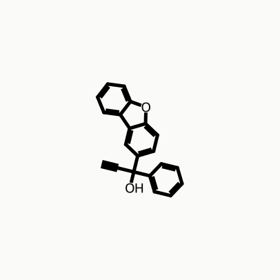 C#CC(O)(c1ccccc1)c1ccc2oc3ccccc3c2c1